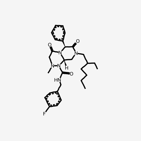 CCCCC(CC)CN1C[C@H]2N(C(=O)CN(C)N2C(=O)NCc2ccc(F)cc2)[C@@H](c2ccccc2)C1=O